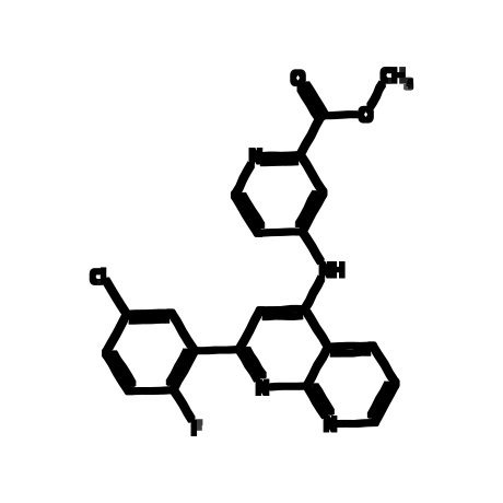 COC(=O)c1cc(Nc2cc(-c3cc(Cl)ccc3F)nc3ncccc23)ccn1